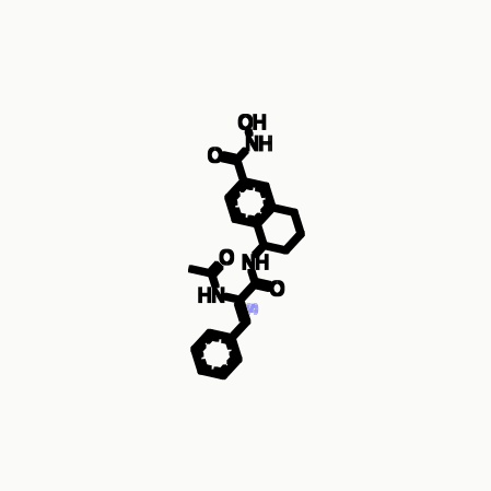 CC(=O)N/C(=C\c1ccccc1)C(=O)NC1CCCc2cc(C(=O)NO)ccc21